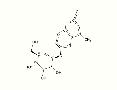 Cc1cc(=O)oc2ccc(O[C@@H]3O[C@H](CO)[C@@H](O)C(O)C3O)cc12